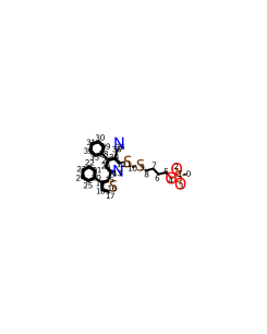 CS(=O)(=O)OCCCCSCSc1nc(-c2sccc2-c2ccccc2)cc(-c2ccccc2)c1C#N